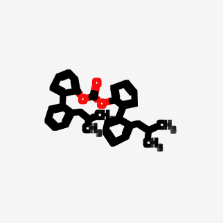 CC(C)Cc1ccccc1-c1ccccc1OC(=O)Oc1ccccc1-c1ccccc1CC(C)C